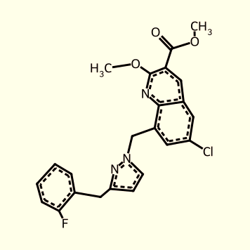 COC(=O)c1cc2cc(Cl)cc(Cn3ccc(Cc4ccccc4F)n3)c2nc1OC